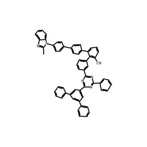 Cc1nc2ccccc2n1-c1ccc(-c2ccc(-c3cccc(C#N)c3-c3cccc(-c4nc(-c5ccccc5)nc(-c5cc(-c6ccccc6)cc(-c6ccccc6)c5)n4)c3)cc2)cc1